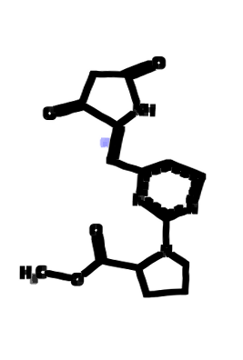 COC(=O)C1CCCN1c1nccc(/C=C2\NC(=O)CC2=O)n1